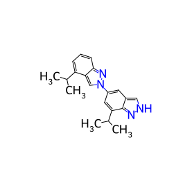 CC(C)c1cccc2nn(-c3cc(C(C)C)c4n[nH]cc4c3)cc12